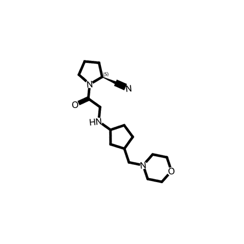 N#C[C@@H]1CCCN1C(=O)CNC1CCC(CN2CCOCC2)C1